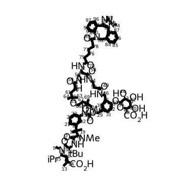 CN[C@H](C(=O)N[C@H](C(=O)N(C)[C@H](/C=C(\C)C(=O)O)C(C)C)C(C)(C)C)C(C)(C)c1cccc(NC(=O)OCc2ccc(O[C@@H]3O[C@H](C(=O)O)[C@@H](O)[C@H](O)[C@H]3O)c(CNC(=O)CCNC(=O)[C@H](CNC(=O)CCC(C)(C)OCCC(C)(C)OC)NC(=O)CCCCC(=O)N3Cc4ccccc4-c4c(nnn4C)-c4ccccc43)c2)c1